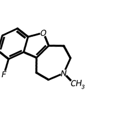 CN1CCc2oc3cccc(F)c3c2CC1